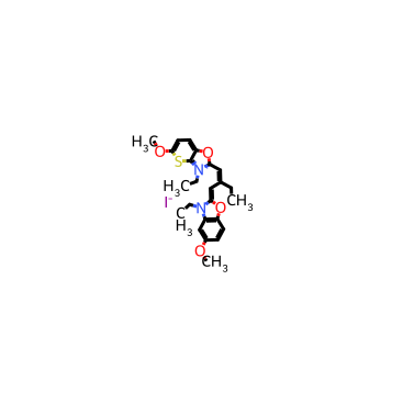 CCC(=CC1OC2=CC=C(OC)SC2=[N+]1CC)C=C1Oc2ccc(OC)cc2N1CC.[I-]